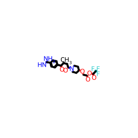 CC(CC(=O)N1CCC(OCC(=O)OC(=O)C(F)(F)F)CC1)C(=O)c1ccc(C(=N)N)cc1